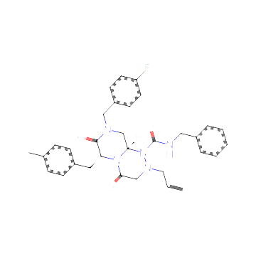 C=CCN1CC(=O)N2[C@@H](Cc3ccc(C)cc3)C(=O)N(Cc3ccc(F)cc3)C[C@@H]2N1C(=O)NCc1ccccc1